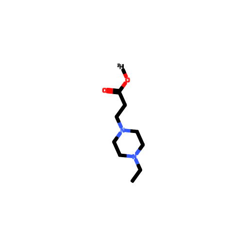 [2H]OC(=O)CCN1CCN(CC)CC1